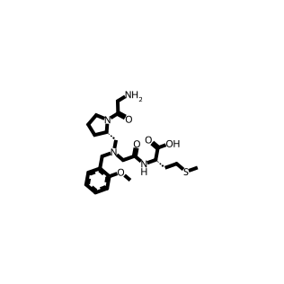 COc1ccccc1CN(CC(=O)N[C@@H](CCSC)C(=O)O)C[C@@H]1CCCN1C(=O)CN